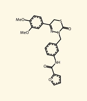 COc1ccc(C2=NN(Cc3cccc(NC(=O)c4ccco4)c3)C(=O)SC2)cc1OC